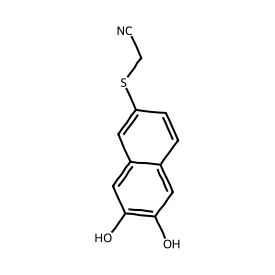 N#CCSc1ccc2cc(O)c(O)cc2c1